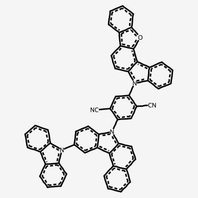 N#Cc1cc(-n2c3ccccc3c3c4oc5ccccc5c4ccc32)c(C#N)cc1-n1c2ccc(-n3c4ccccc4c4ccccc43)cc2c2c3ccccc3ccc21